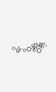 NS(=O)(=O)c1ccccc1NS(=O)(=O)c1ccc(OCc2cnc(Cl)s2)cc1